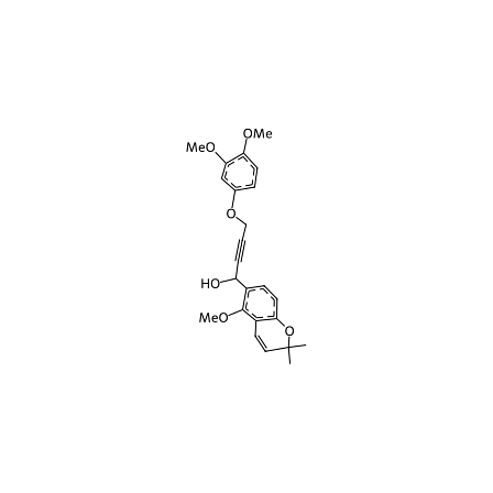 COc1ccc(OCC#CC(O)c2ccc3c(c2OC)C=CC(C)(C)O3)cc1OC